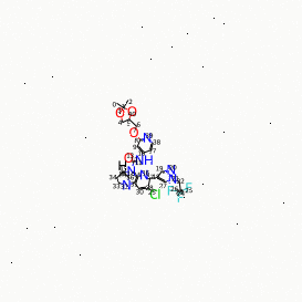 CC1(C)OCC(COc2cc(NC(=O)N3c4nc(-c5cnn(CC(F)(F)F)c5)c(Cl)cc4N4CC[C@H]3C4)ccn2)O1